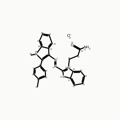 Cc1ccc(-c2c(N=Nc3sc4ccccc4[n+]3CCC(N)=O)c3ccccc3n2C)cc1.[Cl-]